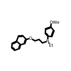 CCN(CCCOc1ccc2ccccc2c1)c1ccc(OC)cc1